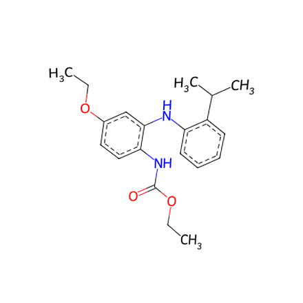 CCOC(=O)Nc1ccc(OCC)cc1Nc1ccccc1C(C)C